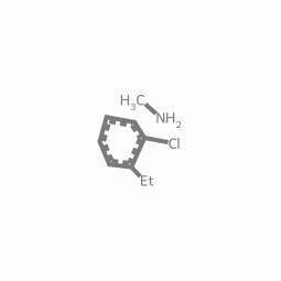 CCc1ccccc1Cl.CN